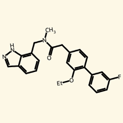 CCOc1cc(CC(=O)N(C)Cc2cccc3cn[nH]c23)ccc1-c1cccc(F)c1